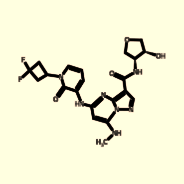 CNc1cc(Nc2cccn(C3CC(F)(F)C3)c2=O)nc2c(C(=O)N[C@H]3COC[C@H]3O)cnn12